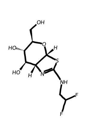 OC[C@H]1O[C@@H]2SC(NCC(F)F)=N[C@@H]2[C@@H](O)[C@@H]1O